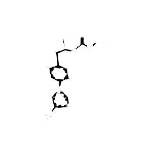 CC(C)(C)OC(=O)N[C@@H](Cc1ccc(-n2cnc(C#N)c2)cc1)C(=O)O